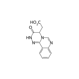 O=C(O)CC1C(=O)NN=C2c3ccccc3N=CN21